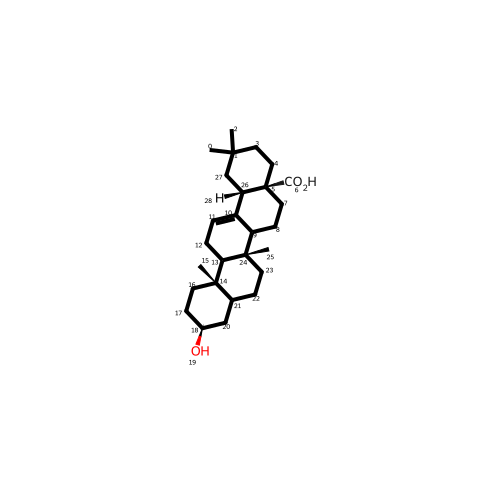 CC1(C)CC[C@]2(C(=O)O)CCC3C(=CCC4[C@@]5(C)CC[C@H](O)CC5CC[C@@]34C)[C@@H]2C1